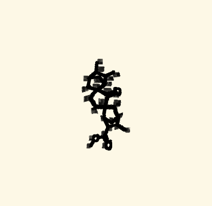 COC(=O)C1C(C)C2CC1C1(CCC3(CC4CC3C(C)C4C)C1=O)C2